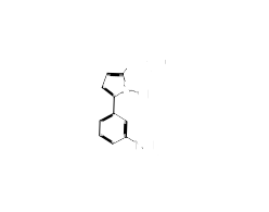 CCOC(=O)c1ccc(-c2cccc(N)c2)n1C